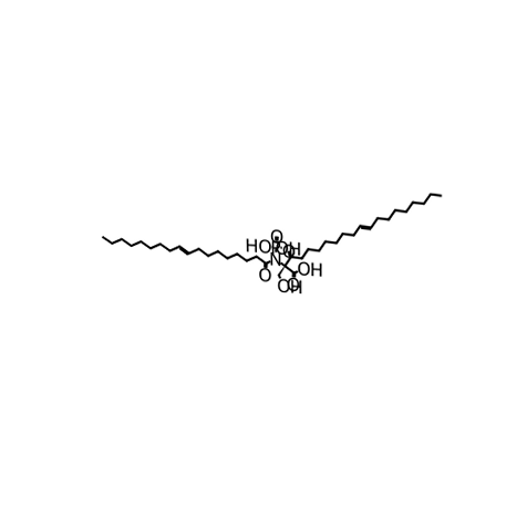 CCCCCCCCC=CCCCCCCCC(=O)N([C@@](CO)(C(=O)O)C(=O)CCCCCCCC=CCCCCCCCC)P(=O)(O)O